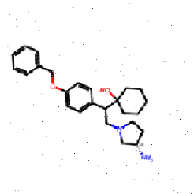 N[C@H]1CCN(CC(c2ccc(OCc3ccccc3)cc2)C2(O)CCCCC2)C1